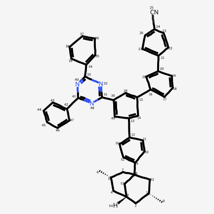 C[C@@H]1C[C@@H]2C[C@H](C)CC(c3ccc(-c4cc(-c5cccc(-c6ccc(C#N)cc6)c5)cc(-c5nc(-c6ccccc6)nc(-c6ccccc6)n5)c4)cc3)(C1)C2